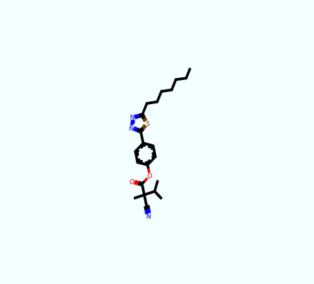 CCCCCCCc1nnc(-c2ccc(OC(=O)C(C)(C#N)C(C)C)cc2)s1